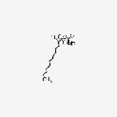 CCCCCCCCCCCCC(C)(C)O[PH](=O)O